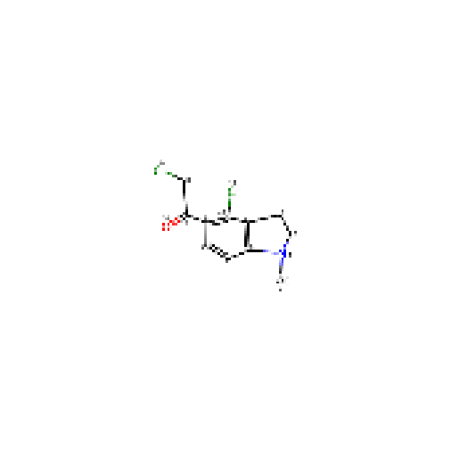 CC(=O)N1CCc2c1ccc(C(=O)CCl)c2Cl